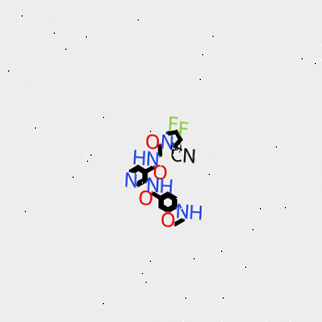 N#C[C@@H]1CC(F)(F)CN1C(=O)CNC(=O)c1ccncc1NC(=O)c1ccc2c(c1)OCCN2